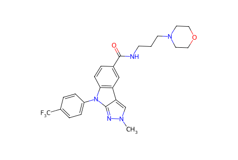 Cn1cc2c3cc(C(=O)NCCCN4CCOCC4)ccc3n(-c3ccc(C(F)(F)F)cc3)c2n1